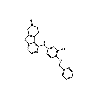 O=C1CCc2c(sc3ncnc(Nc4ccc(OCc5ccccn5)c(Cl)c4)c23)C1